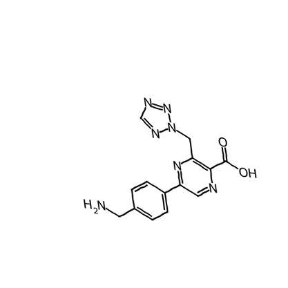 NCc1ccc(-c2cnc(C(=O)O)c(Cn3ncnn3)n2)cc1